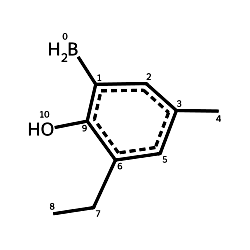 Bc1cc(C)cc(CC)c1O